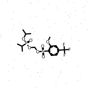 COc1cc(C(F)(F)F)ccc1S(=O)(=O)OCOP(=O)(OC(C)C)C(C)C